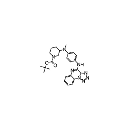 CN(c1ccc(Nc2nc3ccccc3n3nnnc23)cc1)C1CCCN(C(=O)OC(C)(C)C)C1